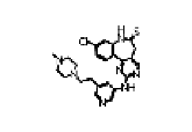 CN1CCN(CCc2cncc(Nc3ncc4c(n3)-c3ccc(Cl)cc3NC(=S)C4)c2)CC1